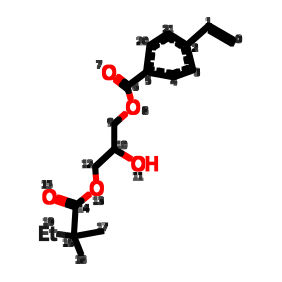 C=Cc1ccc(C(=O)OCC(O)COC(=O)C(C)(C)CC)cc1